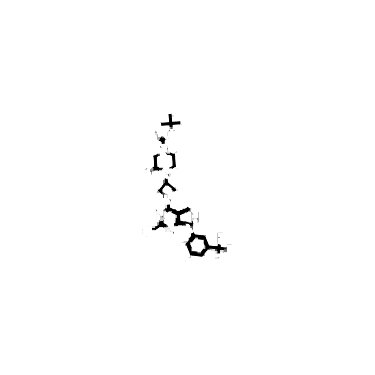 CC(C)(C)OC(=O)N1CCN(C2CN(c3nc(Cl)nc4c3cnn4-c3cccc(C(F)(F)F)c3)C2)C(=O)C1